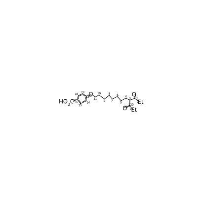 CCC(=O)C(CCCCCCCCOc1ccc(C(=O)O)cc1)C(=O)CC